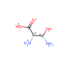 N[C@H](C(=O)O)[C@@H](N)O